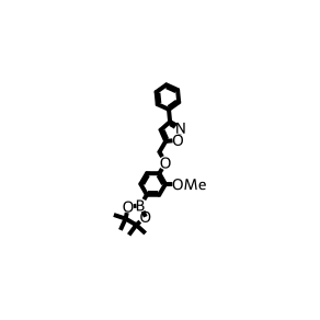 COc1cc(B2OC(C)(C)C(C)(C)O2)ccc1OCc1cc(-c2ccccc2)no1